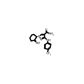 N=C1CCCC[C@@H]1n1cc(C(N)=O)c(Nc2ccc(C(F)(F)F)cc2)n1